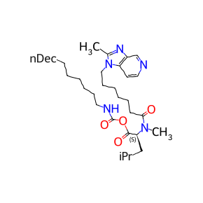 CCCCCCCCCCCCCCCCNC(=O)OC(=O)[C@H](CC(C)C)N(C)C(=O)CCCCCCn1c(C)nc2cnccc21